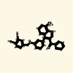 O=C(c1ccccc1)c1cnc2c(C(F)(F)F)cccc2c1-c1cccc(OCc2ccc(F)c(F)c2)c1